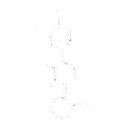 CNc1ccnc2sc3c(=O)n(-c4ccc(OC)c(F)c4)cnc3c12